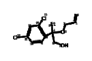 C=CCOC(CC)(CO)c1ccc(Cl)cc1Cl